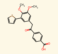 COc1cc(CC(=O)c2ccc(C(=O)O)cc2)cc(-c2cccs2)c1OC